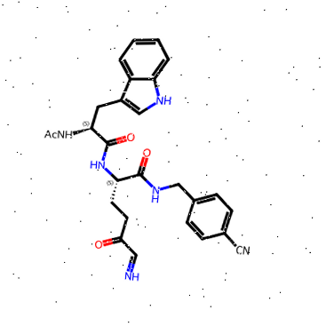 CC(=O)N[C@@H](Cc1c[nH]c2ccccc12)C(=O)N[C@@H](CCC(=O)C=N)C(=O)NCc1ccc(C#N)cc1